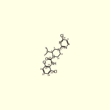 CC(C)C1CN(c2nccc(Cl)n2)CCN1C(=O)Nc1c(Cl)cccc1Cl